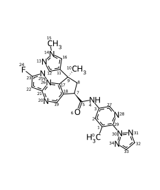 Cc1cc(NC(=O)[C@@H]2C[C@](C)(c3cnn(C)c3)c3c2cnc2cc(F)nn32)cnc1-n1nccn1